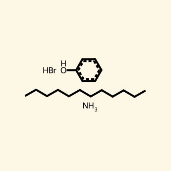 Br.CCCCCCCCCCCC.N.Oc1ccccc1